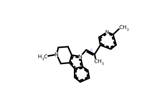 C/C(=C\n1c2c(c3ccccc31)CN(C)CC2)c1ccc(C)nc1